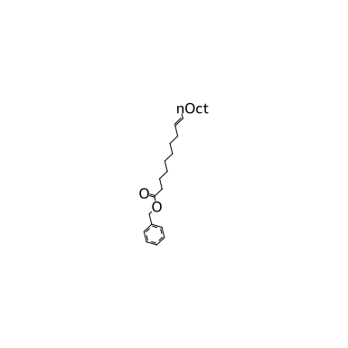 CCCCCCCCC=CCCCCCCCC(=O)OCc1ccccc1